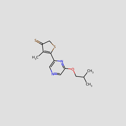 CC1=C(c2cncc(OCC(C)C)n2)SCC1=S